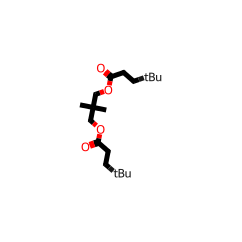 CC(C)(C)CCC(=O)OCC(C)(C)COC(=O)CCC(C)(C)C